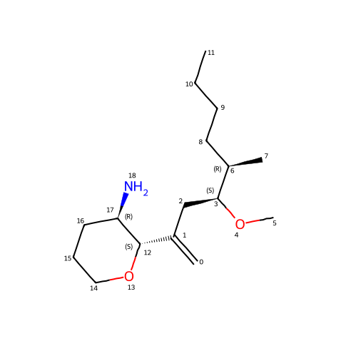 C=C(C[C@H](OC)[C@H](C)CCCC)[C@@H]1OCCC[C@H]1N